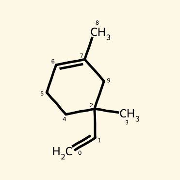 C=CC1(C)CCC=C(C)C1